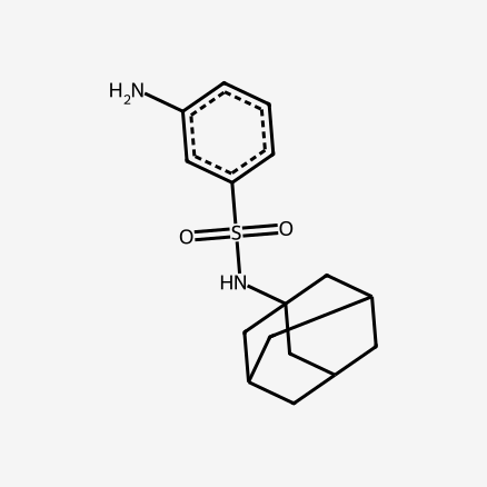 Nc1cccc(S(=O)(=O)NC23CC4CC(CC(C4)C2)C3)c1